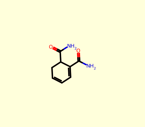 NC(=O)C1=CC=CCC1C(N)=O